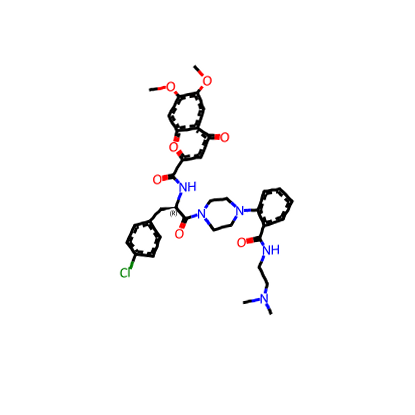 COc1cc2oc(C(=O)N[C@H](Cc3ccc(Cl)cc3)C(=O)N3CCN(c4ccccc4C(=O)NCCN(C)C)CC3)cc(=O)c2cc1OC